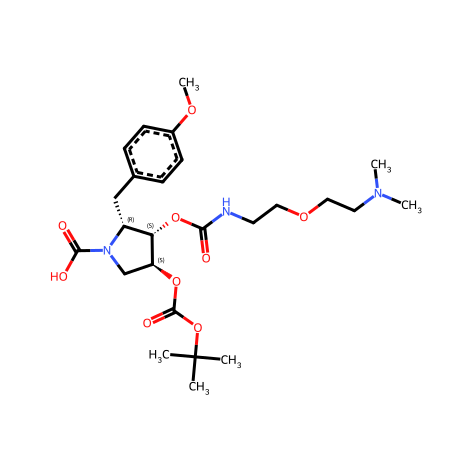 COc1ccc(C[C@@H]2[C@H](OC(=O)NCCOCCN(C)C)[C@@H](OC(=O)OC(C)(C)C)CN2C(=O)O)cc1